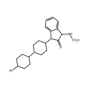 CC(C)C1CCC(N2CCC(N3C(=O)C(NC(=O)O)c4ccccc43)CC2)CC1